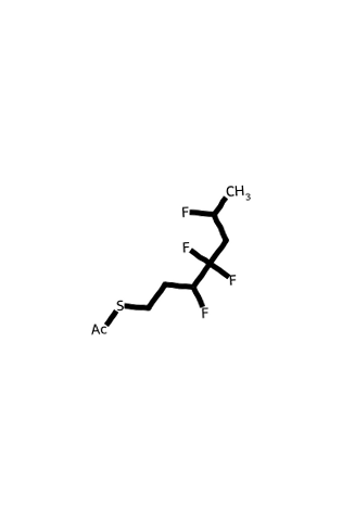 CC(=O)SCCC(F)C(F)(F)CC(C)F